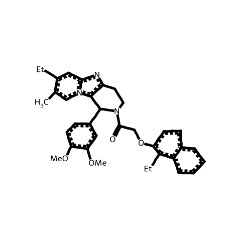 CCc1cc2nc3c(n2cc1C)C(c1ccc(OC)c(OC)c1)N(C(=O)COc1ccc2ccccc2c1CC)CC3